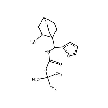 CN1CC2CCC1(C(NC(=O)OC(C)(C)C)c1ccco1)CC2